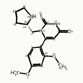 COc1ccc(-c2cc(=O)[nH]c(=S)n2C[C@@H]2CCCN2)c(OC)c1